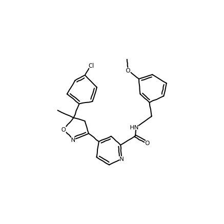 COc1cccc(CNC(=O)c2cc(C3=NOC(C)(c4ccc(Cl)cc4)C3)ccn2)c1